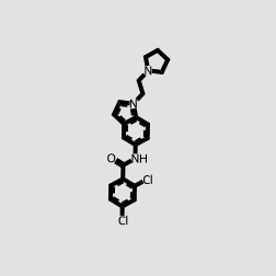 O=C(Nc1ccc2c(ccn2CCN2CCCC2)c1)c1ccc(Cl)cc1Cl